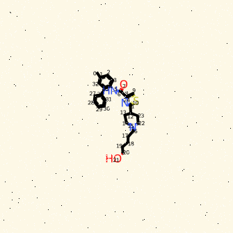 Cc1ccc(NC(=O)c2csc(C3CCN(CCCCCO)CC3)n2)c(-c2ccccc2)c1